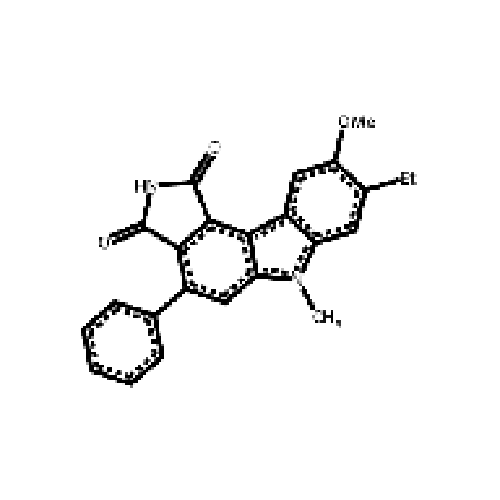 CCc1cc2c(cc1OC)c1c3c(c(-c4ccccc4)cc1n2C)C(=O)NC3=O